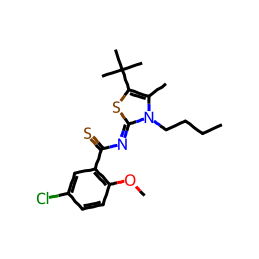 CCCCn1c(C)c(C(C)(C)C)s/c1=N\C(=S)c1cc(Cl)ccc1OC